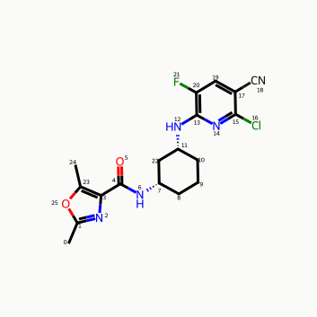 Cc1nc(C(=O)N[C@H]2CCC[C@@H](Nc3nc(Cl)c(C#N)cc3F)C2)c(C)o1